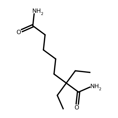 CCC(CC)(CCCCC(N)=O)C(N)=O